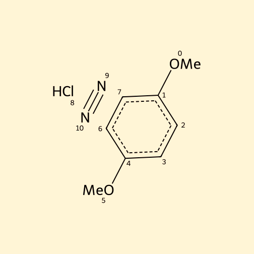 COc1ccc(OC)cc1.Cl.N#N